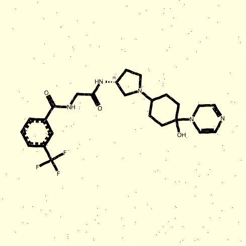 O=C(CNC(=O)c1cccc(C(F)(F)F)c1)N[C@@H]1CCN(C2CCC(O)(N3C=CN=CC3)CC2)C1